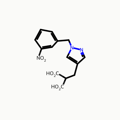 O=C(O)C(Cc1cnn(Cc2cccc([N+](=O)[O-])c2)c1)C(=O)O